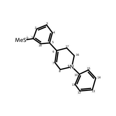 CSc1cccc(C2=CCN(c3ccccc3)CC2)c1